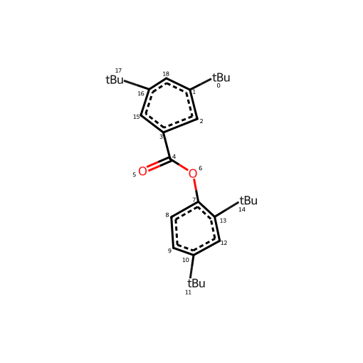 CC(C)(C)c1cc(C(=O)Oc2ccc(C(C)(C)C)cc2C(C)(C)C)cc(C(C)(C)C)c1